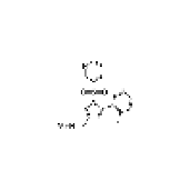 CNCc1cc(-c2cnccc2C)n(S(=O)(=O)c2cccnc2)c1